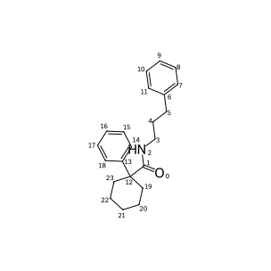 O=C(NCCCc1ccccc1)C1(c2ccccc2)CCCCC1